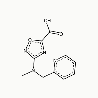 CN(Cc1ccccn1)c1noc(C(=O)O)n1